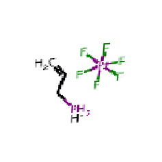 C=CCP.F[P-](F)(F)(F)(F)F.[H+]